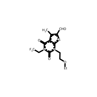 CCOCCn1c(=O)n(CC(F)(F)F)c(=O)c2c(C)c(C=O)sc21